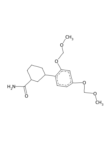 COCOc1ccc(C2CCCC(C(N)=O)C2)c(OCOC)c1